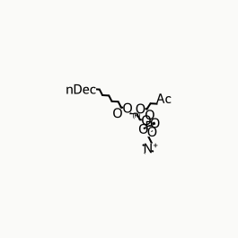 CCCCCCCCCCCCCCCC(=O)OC[C@H](COP(=O)([O-])OCC[N+](C)(C)C)OC(=O)CCC(C)=O